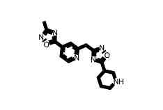 Cc1noc(-c2ccnc(Cc3noc(C4CCCNC4)n3)c2)n1